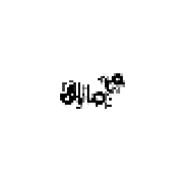 CN(C)c1cc(NC2CCC(CNC(=O)Nc3ccccc3C(F)(F)F)CC2)nc2ccccc12